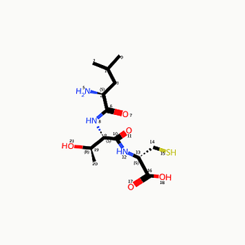 CC(C)C[C@H](N)C(=O)N[C@H](C(=O)N[C@H](CS)C(=O)O)[C@@H](C)O